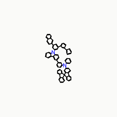 c1ccc(-c2cccc(-c3cc(-c4ccc5ccccc5c4)cc(-n4c5ccccc5c5cc(-c6cccc(N(c7ccccc7)c7ccc8c(c7)C7(c9ccccc9-c9ccccc97)c7ccccc7-8)c6)ccc54)c3)c2)cc1